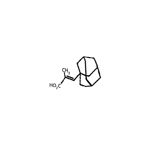 C/C(=C\C12CC3CC(CC(C3)C1)C2)C(=O)O